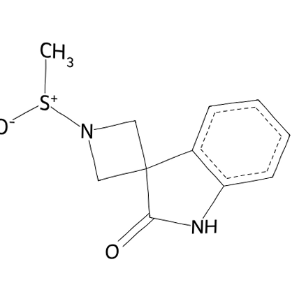 C[S+]([O-])N1CC2(C1)C(=O)Nc1ccccc12